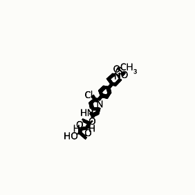 CS(=O)(=O)N1CCC(c2ccc(-c3nc4cc(O[C@@H]5CO[C@H]6[C@@H]5OC[C@H]6O)[nH]c4cc3Cl)cc2)CC1